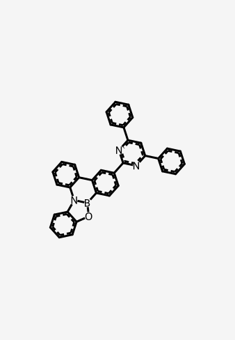 c1ccc(-c2cc(-c3ccccc3)nc(-c3ccc4c(c3)-c3ccccc3N3B4Oc4ccccc43)n2)cc1